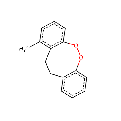 Cc1cccc2c1CCc1ccccc1OO2